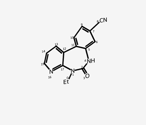 CCN1C(=O)Nc2cc(C#N)ccc2-c2cccnc21